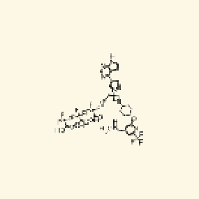 CNCc1cc(O[C@H]2CC[C@@H](N3CC(CC#N)(n4cc(-c5ncnc6[nH]ccc56)cn4)C3)CC2)nc(C(F)(F)F)c1.O=C(O)C(F)(F)F.O=C(O)C(F)(F)F.O=C(O)C(F)(F)F